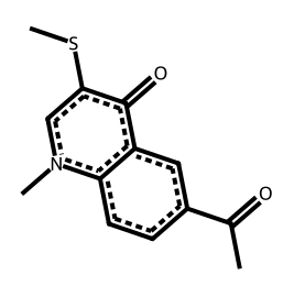 CSc1cn(C)c2ccc(C(C)=O)cc2c1=O